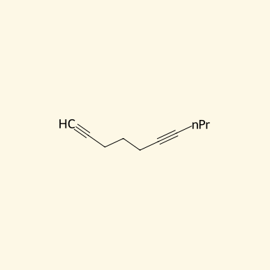 C#CCCCC#CCC[CH2]